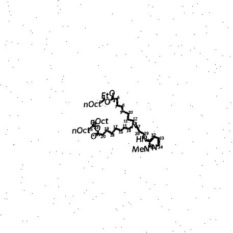 CCCCCCCCC(CC)OC(=O)CCCCCCCN(CCCCCCCC(=O)OC(CCCCCCCC)CCCCCCCC)CCCNc1cccnc1NC